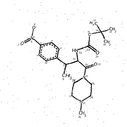 CC(c1ccc([N+](=O)[O-])cc1)C(NC(=O)OC(C)(C)C)C(=O)N1CCN(C)CC1